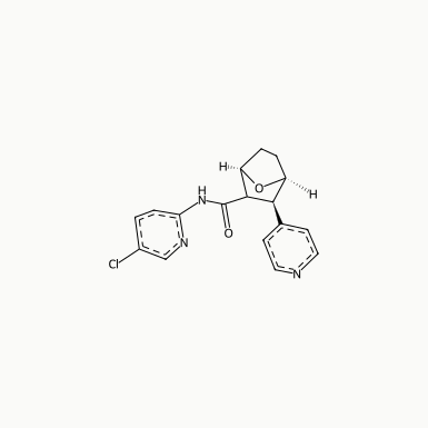 O=C(Nc1ccc(Cl)cn1)C1[C@H]2CC[C@H](O2)[C@H]1c1ccncc1